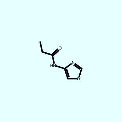 CCC(=O)Nc1cocn1